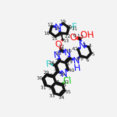 O=C(O)N1CCC[C@@H](Nc2nc(OC[C@@]34CCCN3C[C@H](F)C4)nc3c(F)c(-c4cccc5cccc(Cl)c45)ncc23)C1